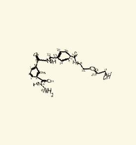 NNC(=O)c1cccc(C(=O)NCc2ccc(C(=O)NCCOCCO)cc2)c1